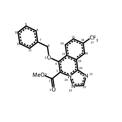 COC(=O)c1c(OCc2ccccc2)c2ccc(C(F)(F)F)cc2c2ncnn12